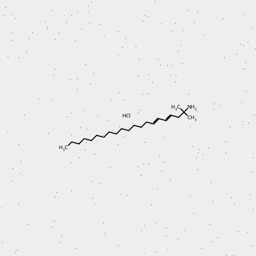 CCCCCCCCCCCCCCC=CC=CCC(C)(C)N.Cl